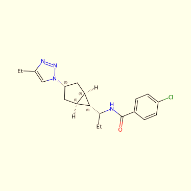 CCc1cn([C@@H]2C[C@@H]3[C@H](C2)[C@H]3C(CC)NC(=O)c2ccc(Cl)cc2)nn1